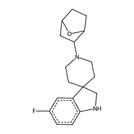 Fc1ccc2c(c1)C1(CCN(C3CC4CCC3O4)CC1)CN2